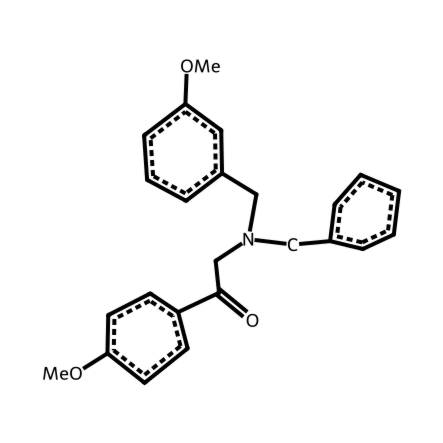 COc1ccc(C(=O)CN(Cc2ccccc2)Cc2cccc(OC)c2)cc1